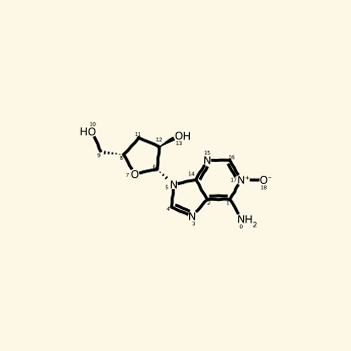 Nc1c2ncn([C@@H]3O[C@H](CO)C[C@H]3O)c2nc[n+]1[O-]